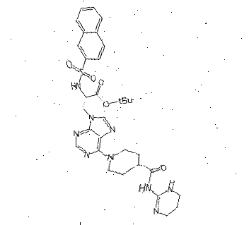 CC(C)(C)OC(=O)[C@H](Cn1cnc2c(N3CCC(C(=O)NC4=NCCCN4)CC3)ncnc21)NS(=O)(=O)c1ccc2ccccc2c1